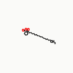 CCCCCCCCCCCCCCCCCCC12CCCCC1C(=O)OC2=O